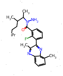 Cc1nc2cccc(C)c2nc1-c1cccc(C(=O)N(N)C(C)C(C)CCC(C)C)c1F